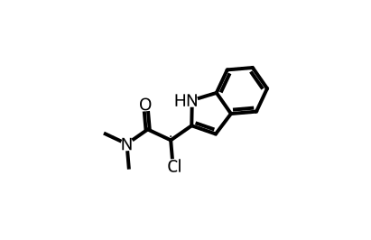 CN(C)C(=O)[C](Cl)c1cc2ccccc2[nH]1